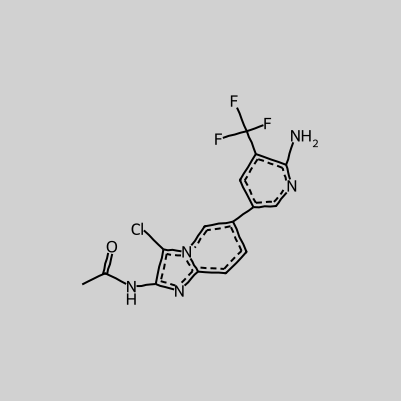 CC(=O)Nc1nc2ccc(-c3cnc(N)c(C(F)(F)F)c3)cn2c1Cl